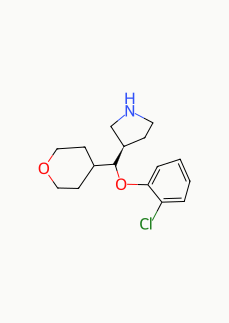 Clc1ccccc1OC(C1CCOCC1)[C@@H]1CCNC1